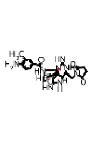 Cc1cc(C(=O)NC2CN3C(=N)NC(CN4C(=O)CCC4=O)[C@@H]4NC(=N)N[C@@]43C2(O)O)ccc1N